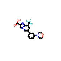 O=C(O)c1cn2cc(-c3cccc(N4CCOCC4)c3)cc(C(F)(F)F)c2n1